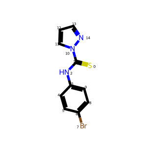 S=C(Nc1ccc(Br)cc1)n1cccn1